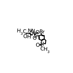 CC(=O)N1CCc2cc(Br)c(S(=O)(=O)n3cc(C(C)O)nn3)cc21